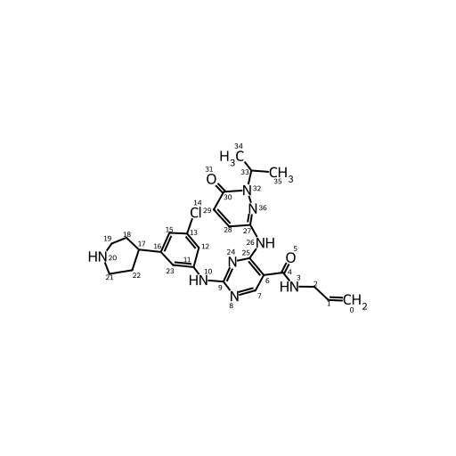 C=CCNC(=O)c1cnc(Nc2cc(Cl)cc(C3CCNCC3)c2)nc1Nc1ccc(=O)n(C(C)C)n1